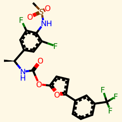 C[C@H](NC(=O)Oc1ccc(-c2cccc(C(F)(F)F)c2)o1)c1cc(F)c(NS(C)(=O)=O)c(F)c1